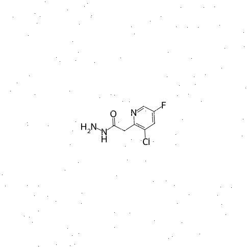 NNC(=O)Cc1ncc(F)cc1Cl